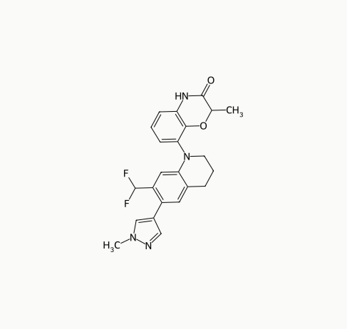 CC1Oc2c(cccc2N2CCCc3cc(-c4cnn(C)c4)c(C(F)F)cc32)NC1=O